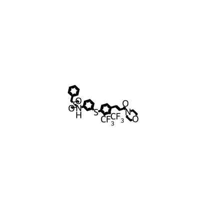 O=C(C=Cc1ccc(Sc2cccc(NS(=O)(=O)Cc3ccccc3)c2)c(C(F)(F)F)c1C(F)(F)F)N1CCOCC1